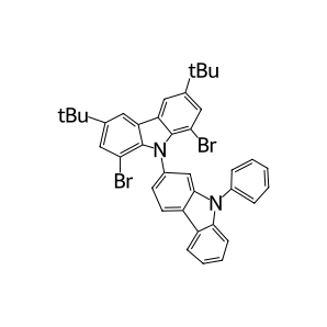 CC(C)(C)c1cc(Br)c2c(c1)c1cc(C(C)(C)C)cc(Br)c1n2-c1ccc2c3ccccc3n(-c3ccccc3)c2c1